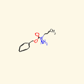 C=CCN(N)C(=O)OCc1ccccc1